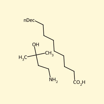 CC(C)(O)CCN.CCCCCCCCCCCCCCCCCC(=O)O